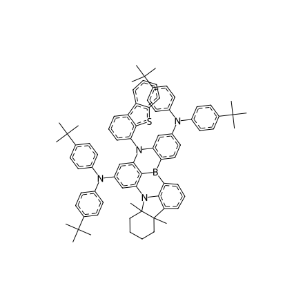 CC(C)(C)c1ccc(N(c2ccc(C(C)(C)C)cc2)c2ccc3c(c2)N(c2cccc4c2sc2ccccc24)c2cc(N(c4ccc(C(C)(C)C)cc4)c4ccc(C(C)(C)C)cc4)cc4c2B3c2cccc3c2N4C2(C)CCCCC32C)cc1